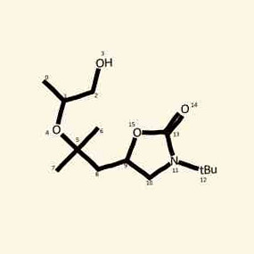 CC(CO)OC(C)(C)CC1CN(C(C)(C)C)C(=O)O1